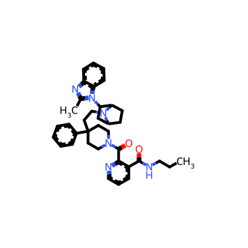 CCCNC(=O)c1cccnc1C(=O)N1CCC(CCN2C3CCC2C(n2c(C)nc4ccccc42)C3)(c2ccccc2)CC1